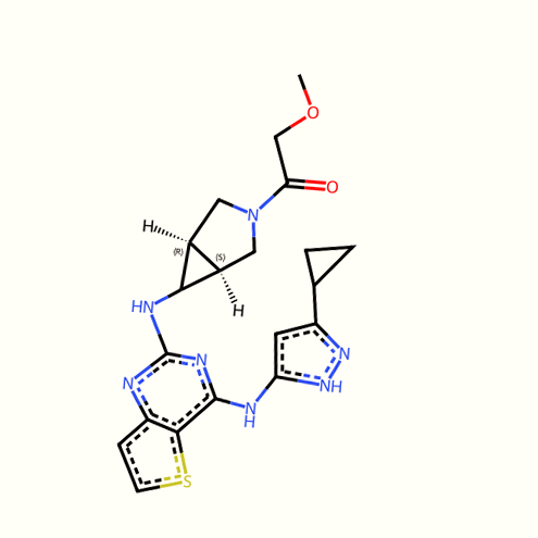 COCC(=O)N1C[C@@H]2C(Nc3nc(Nc4cc(C5CC5)n[nH]4)c4sccc4n3)[C@@H]2C1